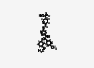 COc1cccc(F)c1-c1cc(C)ncc1C(=O)Nc1nnc(SCc2ccc(C3(O)CC3)cn2)s1